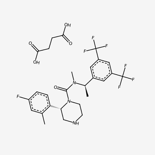 Cc1cc(F)ccc1[C@H]1CNCCN1C(=O)N(C)[C@H](C)c1cc(C(F)(F)F)cc(C(F)(F)F)c1.O=C(O)CCC(=O)O